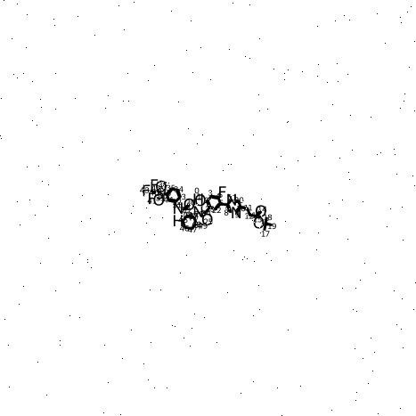 COc1cc(F)c(-c2cnc(CCC(=O)OC(C)(C)C)cn2)cc1C(=O)N[C@H]1[C@@H](C(=O)Nc2cccc(S(=O)(=O)C(F)(F)F)c2)CCC[C@@H]1C